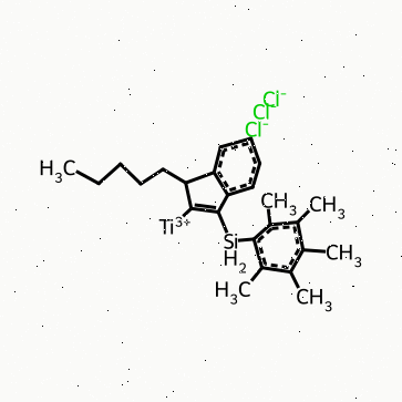 CCCCCC1[C]([Ti+3])=C([SiH2]c2c(C)c(C)c(C)c(C)c2C)c2ccccc21.[Cl-].[Cl-].[Cl-]